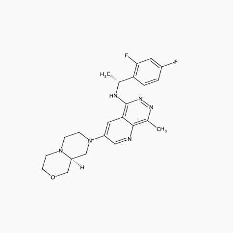 Cc1nnc(N[C@H](C)c2ccc(F)cc2F)c2cc(N3CCN4CCOC[C@@H]4C3)cnc12